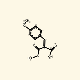 COC(=O)C(=Cc1ccc(OC)cc1)C(=O)O